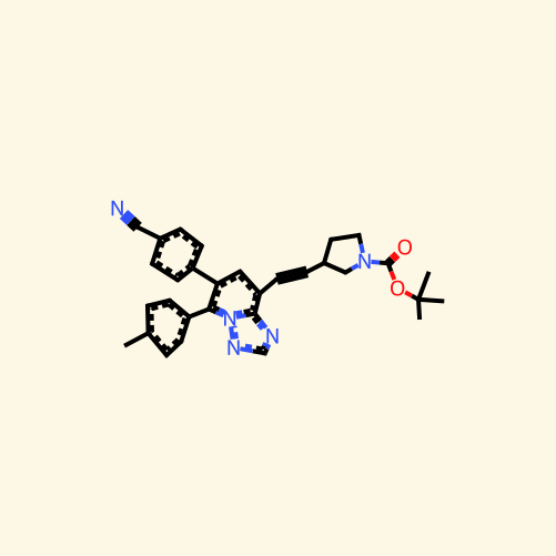 Cc1ccc(-c2c(-c3ccc(C#N)cc3)cc(C#CC3CCN(C(=O)OC(C)(C)C)C3)c3ncnn23)cc1